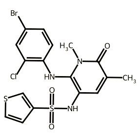 Cc1cc(NS(=O)(=O)c2ccsc2)c(Nc2ccc(Br)cc2Cl)n(C)c1=O